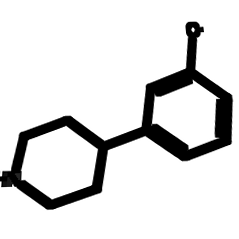 [O]c1cccc(C2CCNCC2)c1